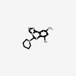 CC(=O)c1cc(C)cc2c1nc(N1CCCCC1)n1cnnc21